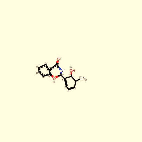 CC1C=CC=C(c2nc(=O)c3ccccc3o2)C1O